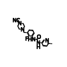 Cc1ccc(NC(=O)Nc2cccc(CN3CCN(C#N)CC3)c2F)cn1